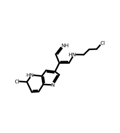 N=C/C(=C\NCCCCl)c1cnc2c(c1)NC(Cl)C=C2